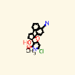 COc1nc(Cl)cc2c1C1(O)CCC(c3ccccc3)C1(c1ccc(C#N)cc1)O2